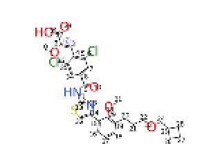 CO/C(=C\c1c(Cl)cc(C(=O)Nc2nc(-c3cccc(CCCOCC4CCC4)c3OC)cs2)cc1Cl)C(=O)O